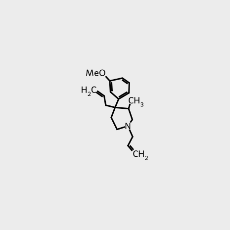 C=CCN1CCC(CC=C)(c2cccc(OC)c2)C(C)C1